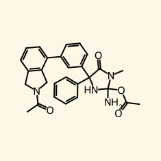 CC(=O)OC1(N)NC(c2ccccc2)(c2cccc(-c3cccc4c3CN(C(C)=O)C4)c2)C(=O)N1C